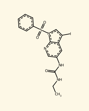 CCNC(=O)Nc1cnc2c(c1)c(I)cn2S(=O)(=O)c1ccccc1